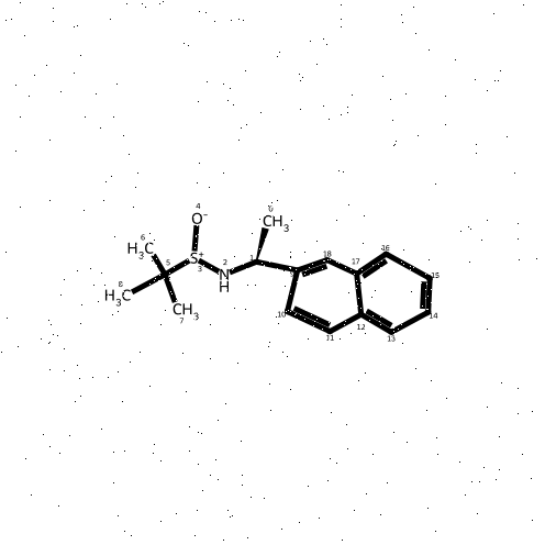 C[C@H](N[S+]([O-])C(C)(C)C)c1ccc2ccccc2c1